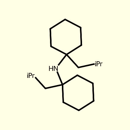 CC(C)CC1(NC2(CC(C)C)CCCCC2)CCCCC1